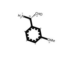 COc1cccc([C@H](N)C=O)c1